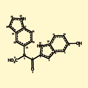 O=C(O)N(C(=O)c1cc2cc(O)ccc2[nH]1)c1ccc2[nH]ccc2c1